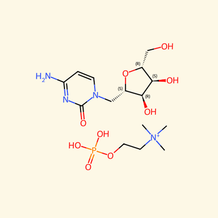 C[N+](C)(C)CCOP(=O)(O)O.Nc1ccn(C[C@@H]2O[C@H](CO)[C@@H](O)[C@H]2O)c(=O)n1